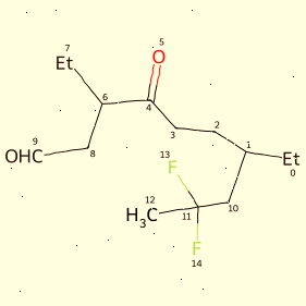 CCC(CCC(=O)C(CC)CC=O)CC(C)(F)F